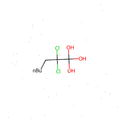 CCCCCC(Cl)(Cl)C(O)(O)O